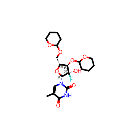 Cc1cn([C@@H]2O[C@H](COC3CCCCO3)[C@@H](OC3CCCCO3)[C@@]2(O)F)c(=O)[nH]c1=O